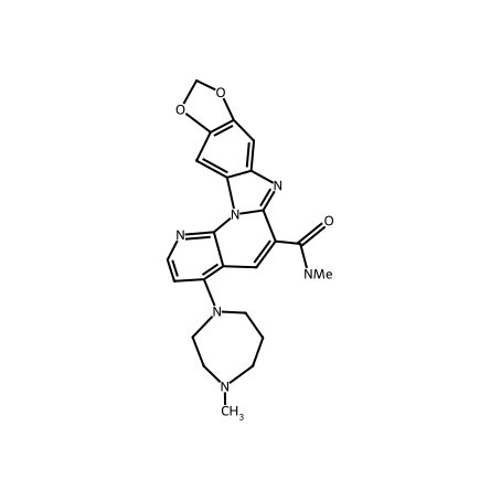 CNC(=O)c1cc2c(N3CCCN(C)CC3)ccnc2n2c1nc1cc3c(cc12)OCO3